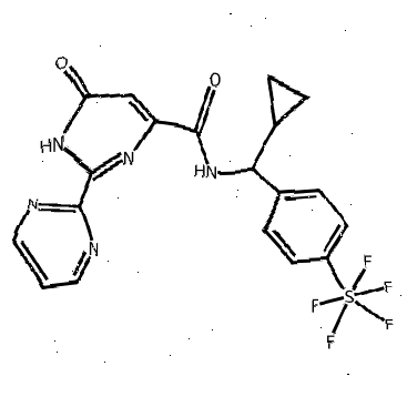 O=C(NC(c1ccc(S(F)(F)(F)(F)F)cc1)C1CC1)c1cc(=O)[nH]c(-c2ncccn2)n1